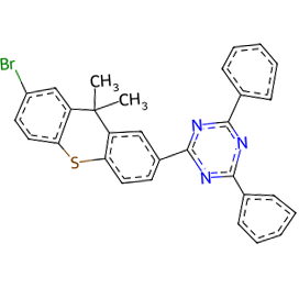 CC1(C)c2cc(Br)ccc2Sc2ccc(-c3nc(-c4ccccc4)nc(-c4ccccc4)n3)cc21